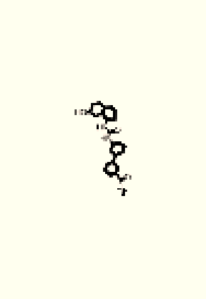 CCOC(=O)c1cccc(-c2cccc(NC(=O)Nc3cccc4c3CC(O)CC4)c2)c1